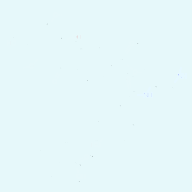 COc1c(O)cc(O)c(O)c1C(=O)c1ccc(C(=O)OC2CCCNCC2NC(=O)c2ccc(O)cc2)cc1.O=C(O)C(F)(F)F